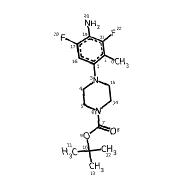 Cc1c(N2CCN(C(=O)OC(C)(C)C)CC2)cc(F)c(N)c1F